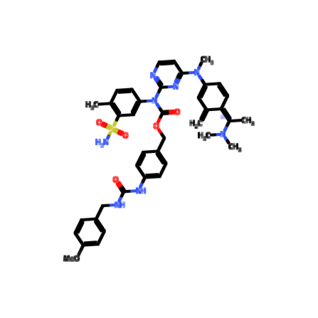 C=c1cc(N(C)c2ccnc(N(C(=O)OCc3ccc(NC(=O)NCc4ccc(OC)cc4)cc3)c3ccc(C)c(S(N)(=O)=O)c3)n2)cc/c1=C(\C)N(C)C